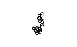 Cc1c(Cc2c(Cl)cccc2Cl)c(=O)oc2cc(OCCOc3no[n+]([O-])c3S(=O)(=O)c3ccccc3)ccc12